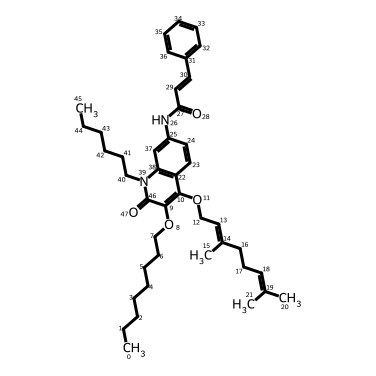 CCCCCCCCOc1c(OC/C=C(\C)CCC=C(C)C)c2ccc(NC(=O)C=Cc3ccccc3)cc2n(CCCCCC)c1=O